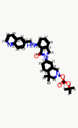 CC(C)(C)OC(=O)ON1Cc2cc(N3Cc4cccc(NCc5ccc6ncccc6c5)c4C3=O)ccc2C(C)(C)C1